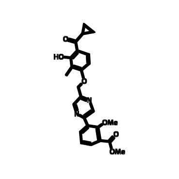 COC(=O)c1cccc(-c2cnc(COc3ccc(C(=O)C4CC4)c(O)c3C)cn2)c1OC